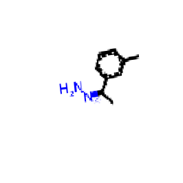 C/C(=N/N)c1cccc(C)c1